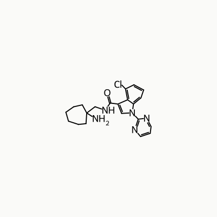 NC1(CNC(=O)c2cn(-c3ncccn3)c3cccc(Cl)c23)CCCCCC1